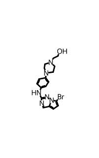 OCCN1CCN(c2ccc(Nc3ncc4ccc(Br)n4n3)cc2)CC1